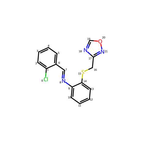 Clc1ccccc1C=Nc1ccccc1SCc1ncon1